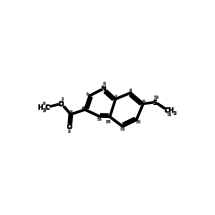 COC(=O)c1cnc2cc(SC)ccc2c1